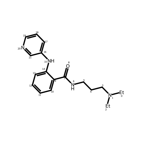 CCN(CC)CCCNC(=O)c1ccccc1Nc1cccnc1